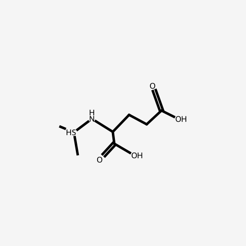 C[SH](C)NC(CCC(=O)O)C(=O)O